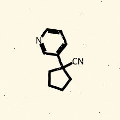 N#CC1(c2cccnc2)CCCC1